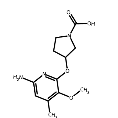 COc1c(C)cc(N)nc1OC1CCN(C(=O)O)C1